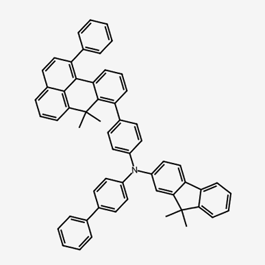 CC1(C)c2ccccc2-c2ccc(N(c3ccc(-c4ccccc4)cc3)c3ccc(-c4cccc5c4C(C)(C)c4cccc6ccc(-c7ccccc7)c-5c46)cc3)cc21